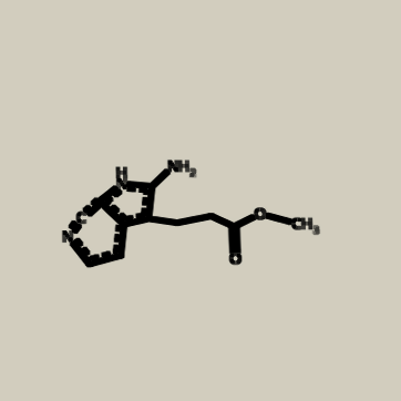 COC(=O)CCc1c(N)[nH]c2cnccc12